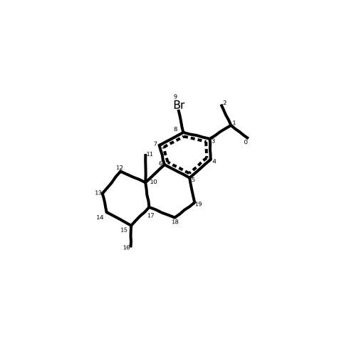 CC(C)c1cc2c(cc1Br)C1(C)CCCC(C)C1CC2